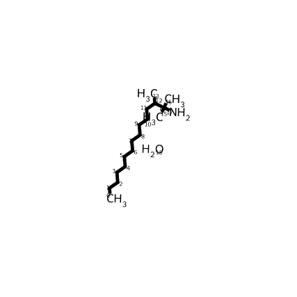 CCCCCCCCCCCCC(C)C(C)(C)N.O